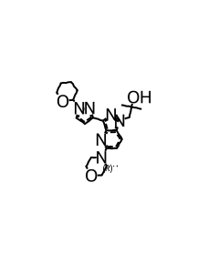 C[C@@H]1COCCN1c1ccc2c(n1)c(-c1ccn(C3CCCCO3)n1)nn2CC(C)(C)O